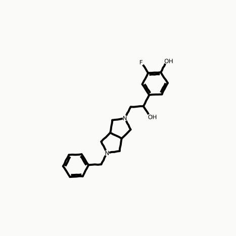 Oc1ccc(C(O)CN2CC3CN(Cc4ccccc4)CC3C2)cc1F